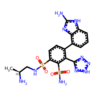 C[C@H](N)CNS(=O)(=O)c1ccc(-c2cccc3[nH]c(N)nc23)c(-c2nn[nH]n2)c1S(N)(=O)=O